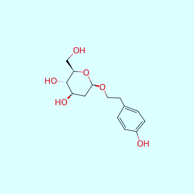 OC[C@H]1O[C@@H](OCCc2ccc(O)cc2)C[C@@H](O)[C@@H]1O